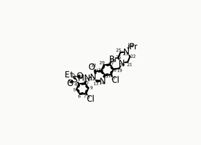 CCS(=O)(=O)c1ccc(Cl)cc1Nn1cnc2c(Cl)c(CN3CCN(C(C)C)CC3)c(Br)cc2c1=O